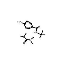 CC(C)(C)NC(=O)c1ccc(O)cc1.CN(C)C(=O)N(C)C